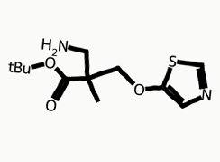 CC(C)(C)OC(=O)C(C)(CN)COc1cncs1